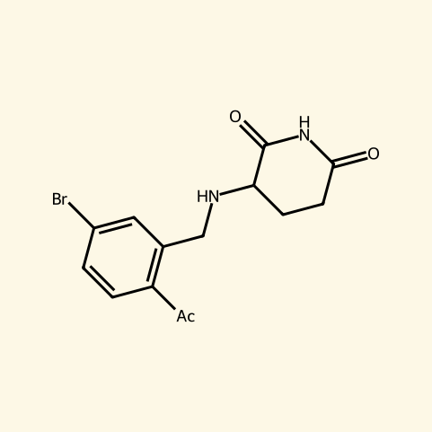 CC(=O)c1ccc(Br)cc1CNC1CCC(=O)NC1=O